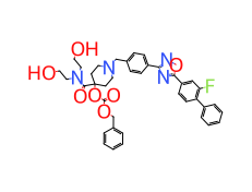 O=C(OCc1ccccc1)OC1(C(=O)N(CCO)CCO)CCN(Cc2ccc(-c3noc(-c4ccc(-c5ccccc5)c(F)c4)n3)cc2)CC1